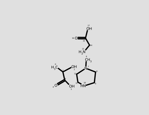 CC(O)C(=O)O.CN1CCNCC1.NCC(=O)O